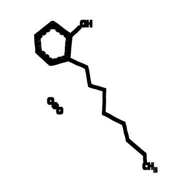 CCCCCCCCc1ccccc1O.O=O